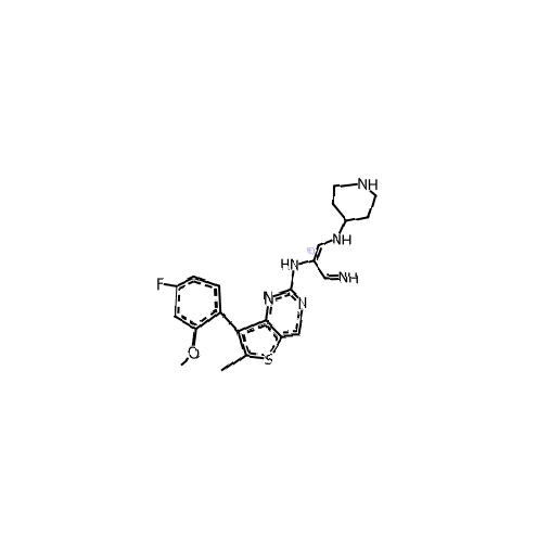 COc1cc(F)ccc1-c1c(C)sc2cnc(N/C(C=N)=C/NC3CCNCC3)nc12